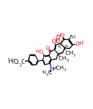 CC(=O)C1=C(O)C[C@@]2(C)C[C@@]3(C)Cc4c(N(C)C)cc(-c5ccc(C(=O)O)cc5)c(O)c4C(=O)C3=C(O)[C@@]2(O)C1=O